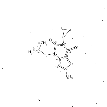 Cc1cc2c(=O)n(C3CC3)c(=O)n(CC(C)C)c2s1